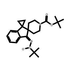 CC(C)(C)OC(=O)N1CCC2(CC1)C(=N[S+]([O-])C(C)(C)C)c1ccccc1C21CC1